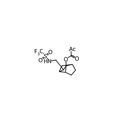 CC(=O)C(=O)OC12C3CCC1C(C3)C2CNS(=O)(=O)C(F)(F)F